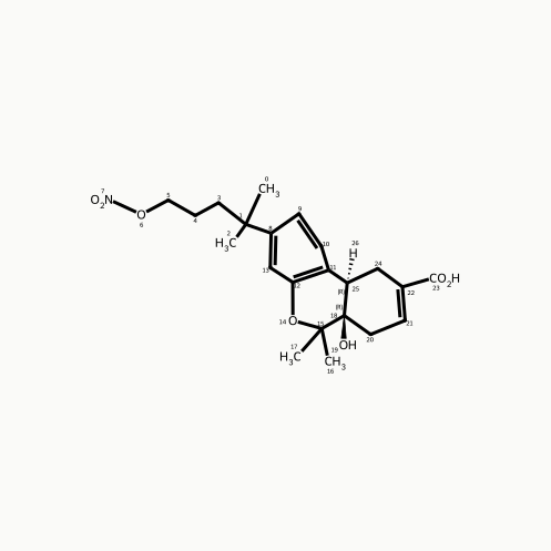 CC(C)(CCCO[N+](=O)[O-])c1ccc2c(c1)OC(C)(C)[C@@]1(O)CC=C(C(=O)O)C[C@H]21